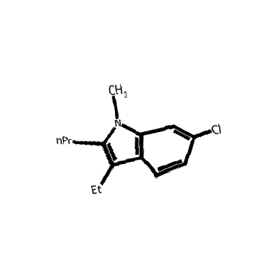 CCCc1c(CC)c2ccc(Cl)cc2n1C